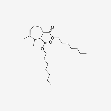 CCCCCCCOC(=O)C1CCC=C(C)C(C)C1C(=O)OCCCCCCC